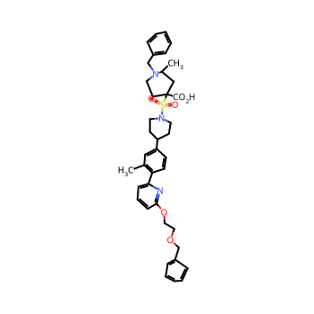 Cc1cc(C2CCN(S(=O)(=O)C3(C(=O)O)CCN(Cc4ccccc4)C(C)C3)CC2)ccc1-c1cccc(OCCOCc2ccccc2)n1